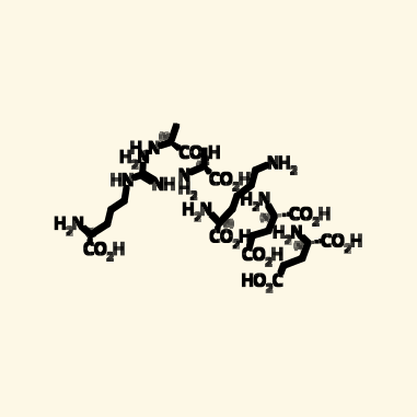 C[C@H](N)C(=O)O.C[C@H](N)C(=O)O.N=C(N)NCCC[C@H](N)C(=O)O.NCCCC[C@H](N)C(=O)O.N[C@@H](CCC(=O)O)C(=O)O.N[C@@H](CCC(=O)O)C(=O)O